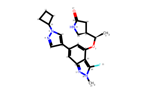 C[C@@H](Oc1cc(-c2cnn(C3CCC3)c2)cc2nn(C)c(F)c12)[C@H]1CNC(=O)C1